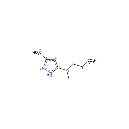 CC(CCC(=O)O)c1cc(C(=O)O)n[nH]1